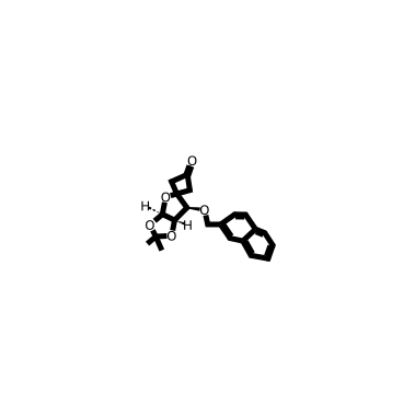 CC1(C)O[C@H]2OC3(CC(=O)C3)[C@@H](OCc3ccc4ccccc4c3)[C@H]2O1